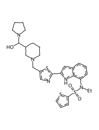 CCN(c1cccc2cc(-c3ncc(CN4CCCC(C(O)N5CCCC5)C4)s3)[nH]c12)S(=O)(=O)c1cccs1